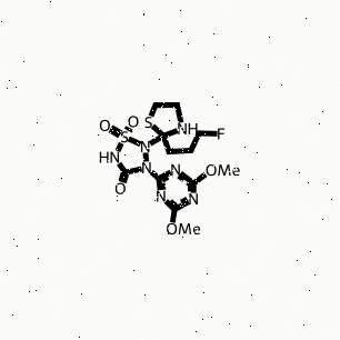 COc1nc(OC)nc(N2C(=O)NS(=O)(=O)N2C2(CCCF)NCCS2)n1